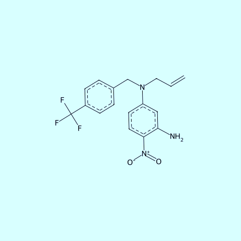 C=CCN(Cc1ccc(C(F)(F)F)cc1)c1ccc([N+](=O)[O-])c(N)c1